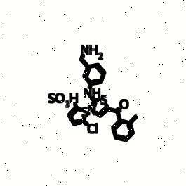 Cc1ccccc1C(=O)c1cnc(Nc2cccc(CN)c2)s1.O=S(=O)(O)c1ccc(Cl)s1